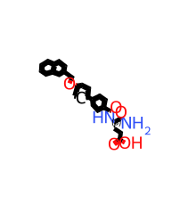 NC(=O)[C@H](CCC(=O)O)NC(=O)c1ccc(-c2ccc(OCc3ccc4ccccc4c3)cc2)cc1